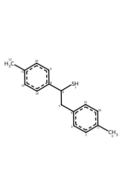 Cc1ccc(CC(S)c2ccc(C)cc2)cc1